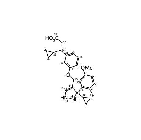 COc1ccc(F)c(C2(C3CC3)NNN=C2COc2cccc([C@@H](CC(=O)O)C3CC3)c2)c1